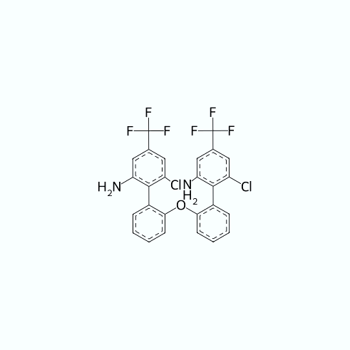 Nc1cc(C(F)(F)F)cc(Cl)c1-c1ccccc1Oc1ccccc1-c1c(N)cc(C(F)(F)F)cc1Cl